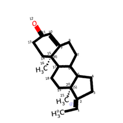 C/C=C1/CCC2C3CCC4=CC(=O)CC[C@]4(C)C3CC[C@]12C